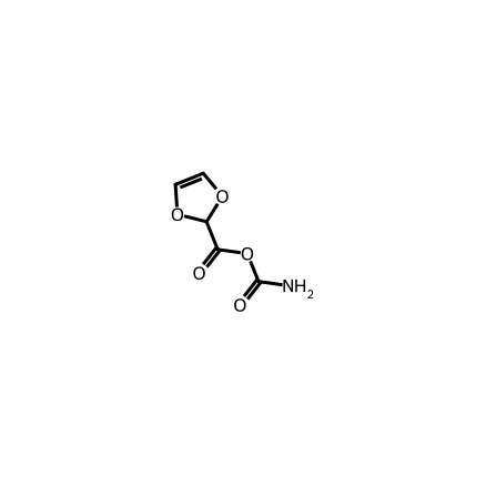 NC(=O)OC(=O)C1OC=CO1